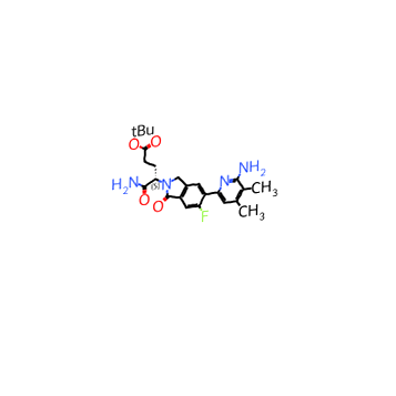 Cc1cc(-c2cc3c(cc2F)C(=O)N([C@@H](CCC(=O)OC(C)(C)C)C(N)=O)C3)nc(N)c1C